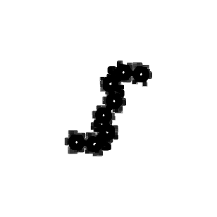 c1ccc(-c2ccc3sc4ccc5c6cc(-c7ccc8sc9c(ccc%10sc%11ccc(-c%12ccccc%12)cc%11c%109)c8c7)ccc6sc5c4c3c2)cc1